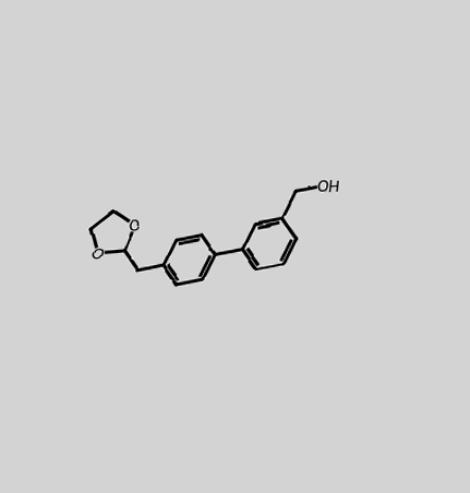 OCc1cccc(-c2ccc(CC3OCCO3)cc2)c1